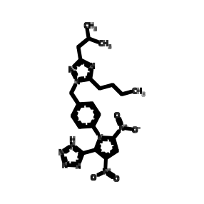 CCCCc1nc(CC(C)C)nn1Cc1ccc(-n2c([N+](=O)[O-])cc([N+](=O)[O-])c2-c2nnn[nH]2)cc1